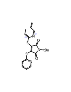 C=C/C=N\C(=C/C)SC1=C(Sc2ccccn2)C(=O)N(C(C)(C)C)C1=O